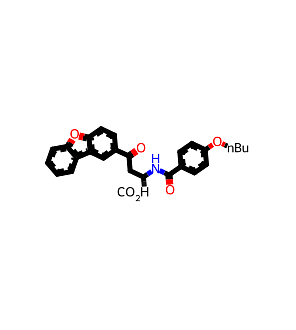 CCCCOc1ccc(C(=O)NC(CC(=O)c2ccc3oc4ccccc4c3c2)C(=O)O)cc1